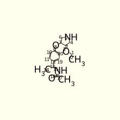 CCO[C@H]1CNC[C@@H]1Oc1ccc([C@H](C)NC(C)=O)cc1